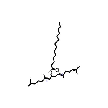 CCCCCCCCCCCCCC(=O)OC(/C=C(\C)CCC=C(C)C)C/C=C(\C)CCC=C(C)C